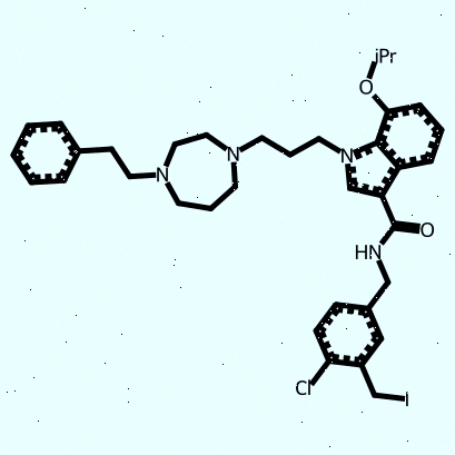 CC(C)Oc1cccc2c(C(=O)NCc3ccc(Cl)c(CI)c3)cn(CCCN3CCCN(CCc4ccccc4)CC3)c12